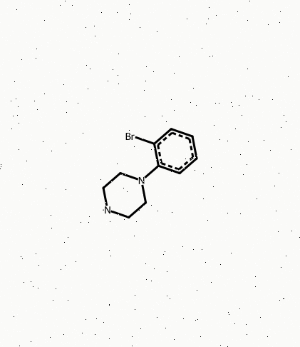 Brc1ccccc1N1CC[N]CC1